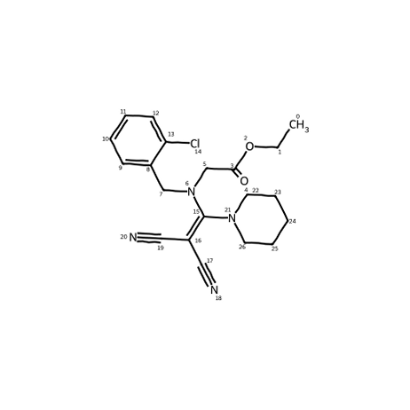 CCOC(=O)CN(Cc1ccccc1Cl)C(=C(C#N)C#N)N1CCCCC1